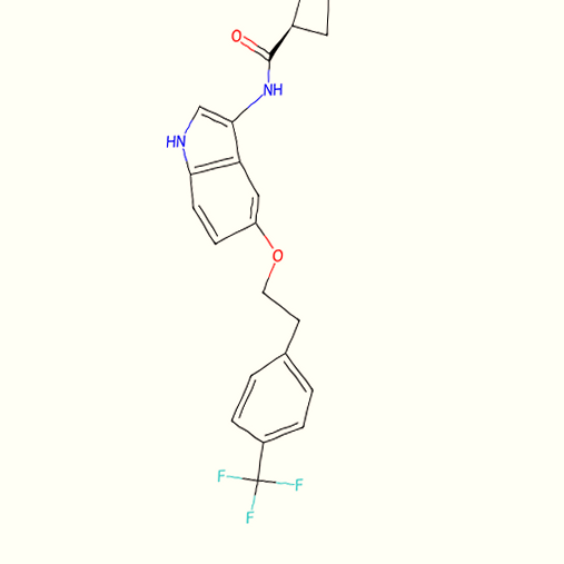 CO[C@H]1C[C@@H](C(=O)Nc2c[nH]c3ccc(OCCc4ccc(C(F)(F)F)cc4)cc23)C1